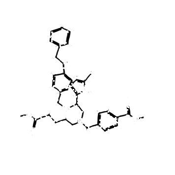 COC(=O)CCCCN(Cc1ccc(C(=O)OC)cc1)CC(OCc1ccc(CCc2ccccc2)cc1)c1ccc(C)s1